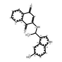 CC(NC1=CC(=O)c2cccnc2C1=O)c1c[nH]c2ccc(O)cc12